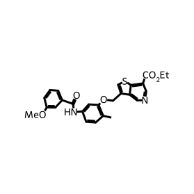 CCOC(=O)c1cncc2c(COc3cc(NC(=O)c4cccc(OC)c4)ccc3C)csc12